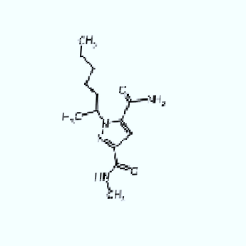 CCCCCC(C)n1nc(C(=O)NC)cc1C(N)=O